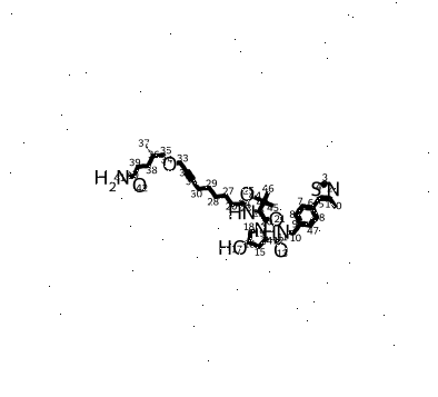 Cc1ncsc1-c1ccc(CNC(=O)[C@@H]2C[C@@H](O)CN2C(=O)[C@@H](NC(=O)CCCCCC#CCOC[C@@H](C)CCC(N)=O)C(C)(C)C)cc1